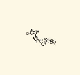 C[N+](C)(C)CC(=O)N1CCC[C@@H](CNc2nc(-c3c[nH]c4ncc(Cl)cc34)ncc2F)C1